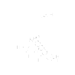 COc1c(OCCCCCCCC(=O)O)cc2oc3cc4c(c(O)c3c(=O)c2c1CC=C(C)C)C=CC(C)(C)O4